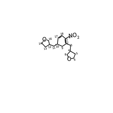 O=[N+]([O-])C1=C(CC2CCOC2)C[C](CC2CCOC2)C=C1